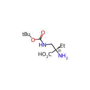 CC[C@](N)(CNC(=O)OC(C)(C)C)C(=O)O